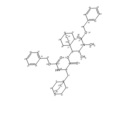 CC(C(OC(=O)C(CC12CCC(CC1)CC2)NC(=O)OCc1ccccc1)C12CCC(CC1)CC2)N(C)C(=O)OCc1ccccc1